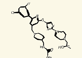 COC(=O)NCC1CCN(Cc2cc(Oc3cnc(N4CCN(C[C@@H](C)O)CC4)nc3)nc(-c3cc(Cl)cc(Cl)c3)c2)CC1